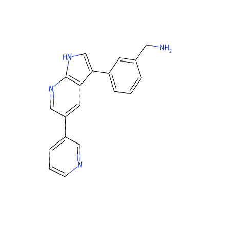 NCc1cccc(-c2c[nH]c3ncc(-c4cccnc4)cc23)c1